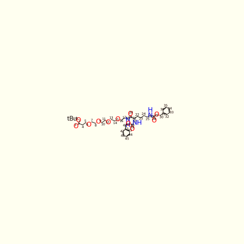 CC(C)(C)OC(=O)CCOCCOCCOCCOCCNC(=O)C(CCCCNC(=O)OCc1ccccc1)NC(=O)OCc1ccccc1